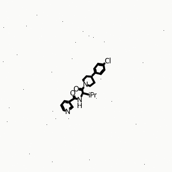 CC(C)C(NC(=O)c1cccnc1)C(=O)N1CCC(c2ccc(Cl)cc2)CC1